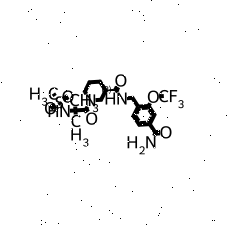 CC(C)(NS(C)(=O)=O)C(=O)N1CCC[C@@H](C(=O)NCc2ccc(C(N)=O)cc2OC(F)(F)F)C1